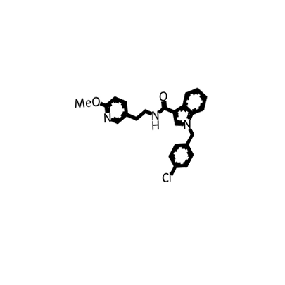 COc1ccc(CCNC(=O)c2cn(Cc3ccc(Cl)cc3)c3ccccc23)cn1